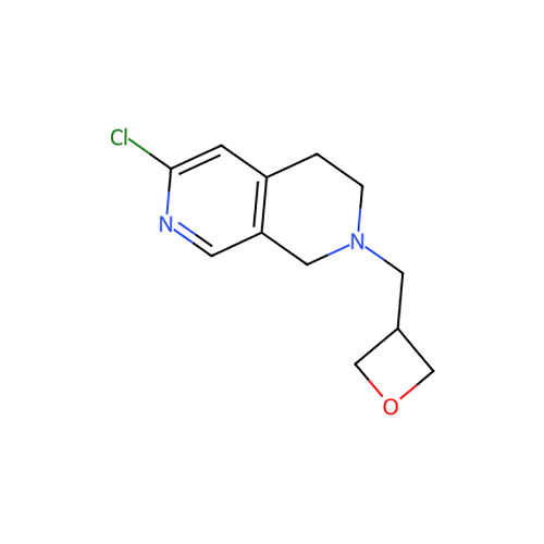 Clc1cc2c(cn1)CN(CC1COC1)CC2